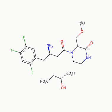 CC(C)(C)OCC1C(=O)NCCN1C(=O)C[C@H](N)Cc1cc(F)c(F)cc1F.O=C(O)C[C@@H](O)C(=O)O